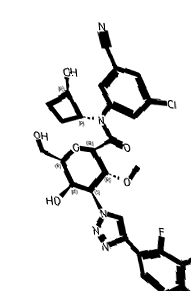 CO[C@@H]1[C@@H](n2cc(-c3ccc(Br)c(F)c3F)nn2)[C@@H](O)[C@@H](CO)O[C@H]1C(=O)N(c1cc(Cl)cc(C#N)c1)[C@@H]1CC[C@H]1O